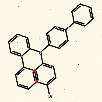 Brc1ccc(N(c2ccc(-c3ccccc3)cc2)c2ccccc2-c2ccccc2)cc1